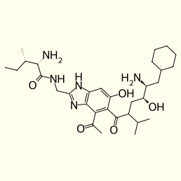 CC[C@H](C)[C@H](N)C(=O)NCc1nc2c(C(C)=O)c(C(=O)C(C[C@H](O)[C@@H](N)CC3CCCCC3)C(C)C)c(O)cc2[nH]1